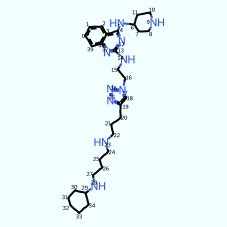 c1ccc2c(NC3CCNCC3)nc(NCCn3cc(CCCNCCCCNC4CCCCC4)nn3)nc2c1